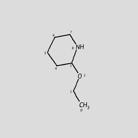 CCOC1CCCCN1